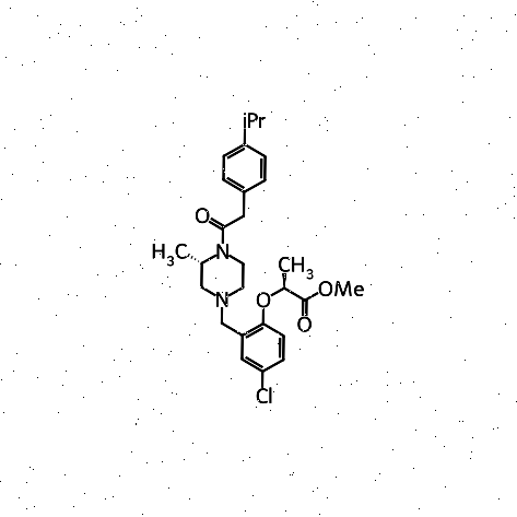 COC(=O)[C@H](C)Oc1ccc(Cl)cc1CN1CCN(C(=O)Cc2ccc(C(C)C)cc2)[C@@H](C)C1